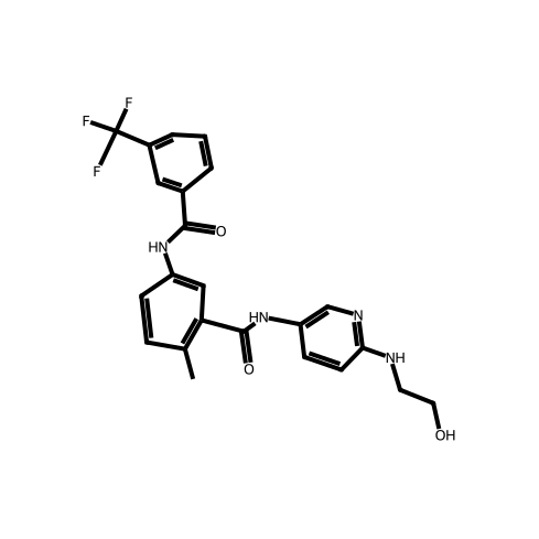 Cc1ccc(NC(=O)c2cccc(C(F)(F)F)c2)cc1C(=O)Nc1ccc(NCCO)nc1